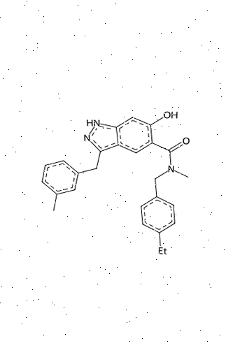 CCc1ccc(CN(C)C(=O)c2cc3c(Cc4cccc(C)c4)n[nH]c3cc2O)cc1